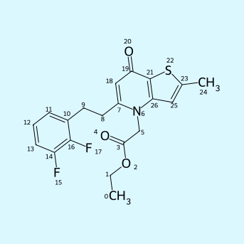 CCOC(=O)Cn1c(CCc2cccc(F)c2F)cc(=O)c2sc(C)cc21